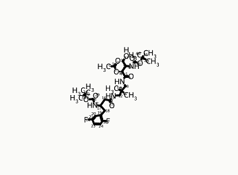 CC(=O)O[C@H](C(=O)NCC(C)(C)CNC(=O)CC(Cc1cc(F)ccc1F)NC(=O)OC(C)(C)C)C(CO)NC(=O)OC(C)(C)C